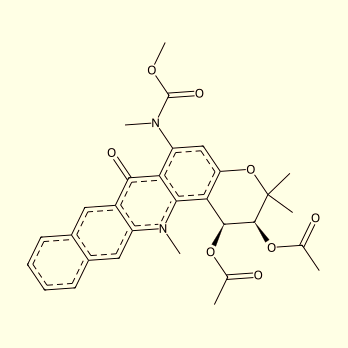 COC(=O)N(C)c1cc2c(c3c1c(=O)c1cc4ccccc4cc1n3C)[C@H](OC(C)=O)[C@H](OC(C)=O)C(C)(C)O2